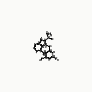 C[C@H](N)c1nc2cccc(S)c2n1Cc1cc(F)cc(F)c1